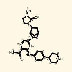 CN1CCN(C2CC3CC2N(c2cnc(C(N)=O)c(Nc4ccc(C5CCNCC5)cc4)n2)C3)C1=O